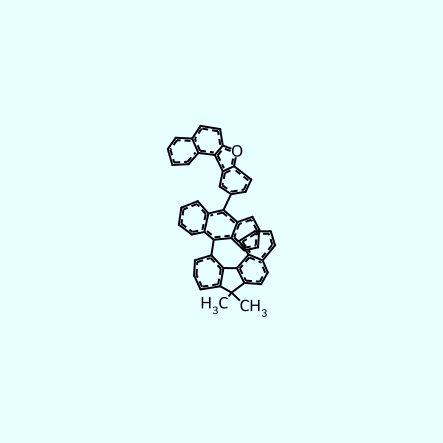 CC1(C)c2cccc(-c3c4ccccc4c(-c4ccc5oc6ccc7ccccc7c6c5c4)c4ccccc34)c2-c2c1ccc1ccccc21